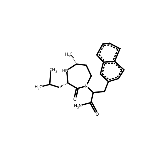 CC(C)C[C@@H]1N[C@H](C)CCN(C(Cc2ccc3ccccc3c2)C(N)=O)C1=O